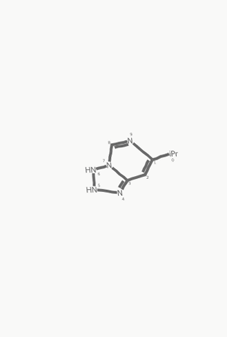 CC(C)C1=CC2=NNNN2C=N1